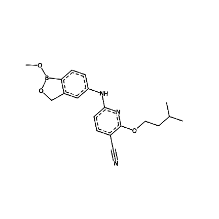 COB1OCc2cc(Nc3ccc(C#N)c(OCCC(C)C)n3)ccc21